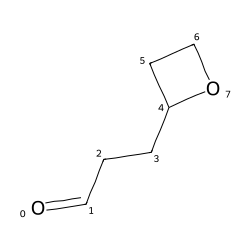 O=CCCC1CCO1